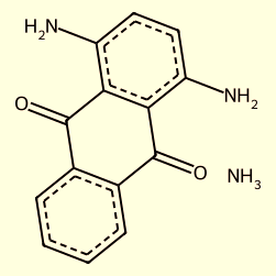 N.Nc1ccc(N)c2c1C(=O)c1ccccc1C2=O